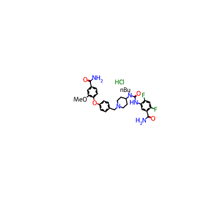 CCCCN(C(=O)Nc1cc(C(N)=O)c(F)cc1F)C1CCN(Cc2ccc(Oc3ccc(C(N)=O)cc3OC)cc2)CC1.Cl